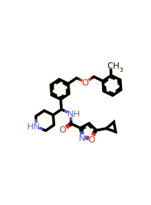 Cc1ccccc1COCc1cccc(C(NC(=O)c2cc(C3CC3)on2)C2CCNCC2)c1